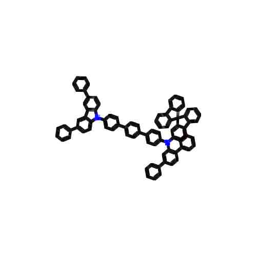 c1ccc(-c2ccc(-c3ccccc3)c(N(c3ccc(-c4ccc(-c5ccc(-n6c7ccc(-c8ccccc8)cc7c7cc(-c8ccccc8)ccc76)cc5)cc4)cc3)c3ccc4c(c3)C3(c5ccccc5-c5ccccc53)c3ccccc3-4)c2)cc1